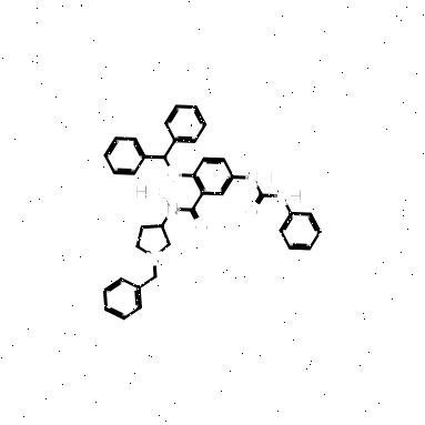 CN(C(=O)c1cc(NC(=O)Nc2ccccc2)ccc1OC(c1ccccc1)c1ccccc1)C1CCN(Cc2ccccc2)C1